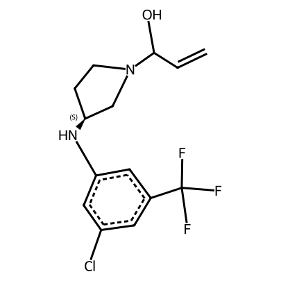 C=CC(O)N1CC[C@H](Nc2cc(Cl)cc(C(F)(F)F)c2)C1